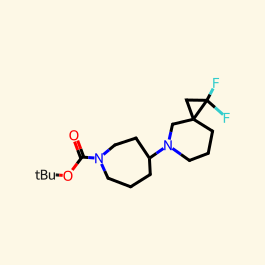 CC(C)(C)OC(=O)N1CCCC(N2CCCC3(C2)CC3(F)F)CC1